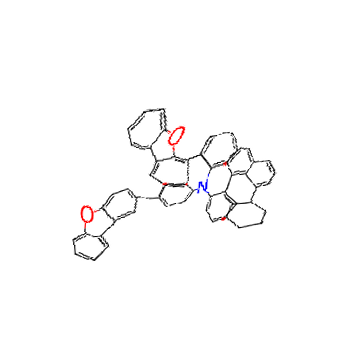 c1ccc(N(c2ccc(-c3ccc4oc5ccccc5c4c3)cc2)c2ccccc2-c2cccc3cccc(C4CCCCC4)c23)c(-c2cccc3c2oc2ccccc23)c1